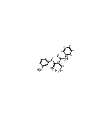 N=C(Oc1cccc(N)c1)/C(=C\N)C(=O)Nc1ccccc1